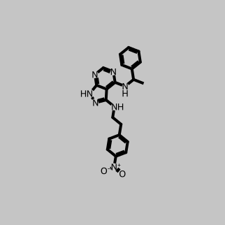 CC(Nc1ncnc2[nH]nc(NCCc3ccc([N+](=O)[O-])cc3)c12)c1ccccc1